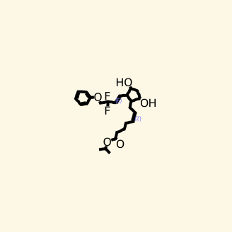 CC(C)OC(=O)CCC/C=C\CC1C(O)CC(O)C1/C=C/C(F)(F)COc1ccccc1